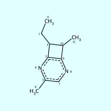 CCC1c2nc(C)cnc2C1C